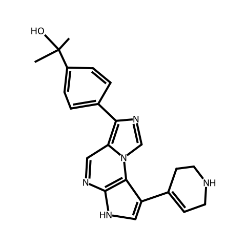 CC(C)(O)c1ccc(-c2ncn3c2cnc2[nH]cc(C4=CCNCC4)c23)cc1